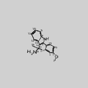 COc1ccc(-c2[nH]c3ccccc3c2C(C)(C)N)cc1